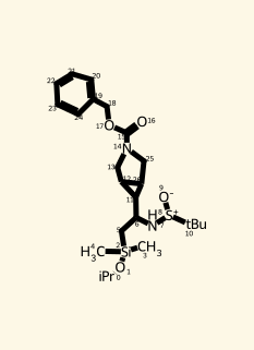 CC(C)O[Si](C)(C)CC(N[S+]([O-])C(C)(C)C)C1C2CN(C(=O)OCc3ccccc3)CC21